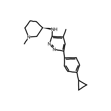 Cc1cc(-c2ccc(C3CC3)cc2)nnc1N[C@@H]1CCCN(C)C1